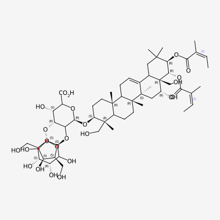 C/C=C(/C)C(=O)O[C@H]1[C@H](OC(=O)/C(C)=C\C)[C@@]2(CO)C(CC1(C)C)C1=CCC3[C@@]4(C)CC[C@H](O[C@@H]5OC(C(=O)O)[C@@H](O)[C@@H](O[C@@H]6O[C@@H](CO)[C@@H](O)C6O)C5O[C@@H]5OC(CO)[C@@H](O)[C@@H](O)C5O)[C@@](C)(CO)C4CC[C@@]3(C)[C@]1(C)C[C@H]2O